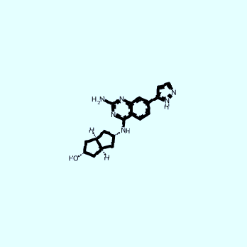 Nc1nc(N[C@@H]2C[C@H]3C[C@H](O)C[C@H]3C2)c2ccc(-c3ccn[nH]3)cc2n1